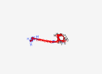 CO[C@H]1C[C@@H]2CC[C@@H](C)[C@@](O)(O2)C(=O)C(=O)N2CCCC[C@H]2C(=O)O[C@H]([C@H](N)C[C@@H]2CC[C@@H](OCCCCc3cn(CCOCCOCCOCCOCCOCCOCCOCCOCCC(=O)NCCCCn4nc(-c5cnc6[nH]ccc6c5)c5c(N)ncnc54)nn3)[C@H](OC)C2)CC(=O)[C@H](C)/C=C(\C)[C@@H](O)[C@@H](O)C(=O)[C@H](C)C[C@H](C)/C=C/C=C/C=C/1C